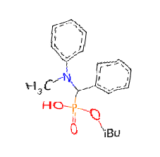 CCC(C)OP(=O)(O)C(c1ccccc1)N(C)c1ccccc1